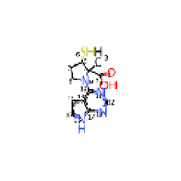 CC1(C(=O)O)C(S)CCN1c1ncnc2[nH]ccc12